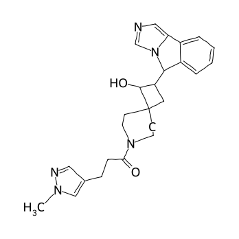 Cn1cc(CCC(=O)N2CCC3(CC2)CC(C2c4ccccc4-c4cncn42)C3O)cn1